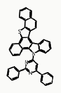 c1ccc(-c2cc(-n3c4ccccc4c4c5c6ccc7ccccc7c6sc5c5ccccc5c43)nc(-c3ccccc3)n2)cc1